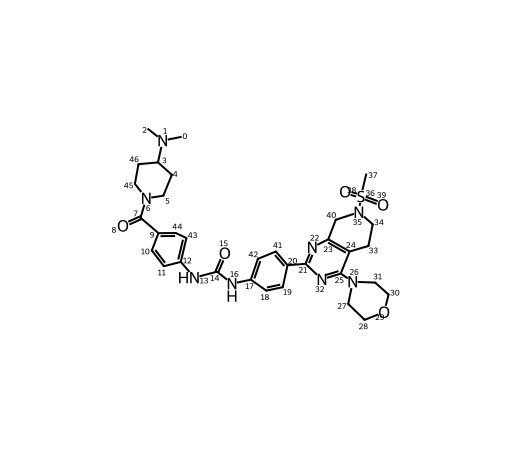 CN(C)C1CCN(C(=O)c2ccc(NC(=O)Nc3ccc(-c4nc5c(c(N6CCOCC6)n4)CCN(S(C)(=O)=O)C5)cc3)cc2)CC1